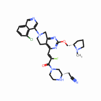 CN1CCC[C@H]1COc1nc(C=C(F)C(=O)N2CCN[C@@H](CC#N)C2)c2c(n1)CN(c1cncc3cccc(Cl)c13)CC2